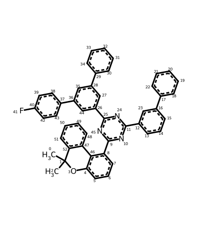 CC1(C)Oc2cccc(-c3nc(-c4cccc(-c5ccccc5)c4)nc(-c4cc(-c5ccccc5)cc(-c5ccc(F)cc5)c4)n3)c2-c2ccccc21